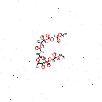 CCOC(=O)COC(=O)OC(=O)C(C)OC(=O)CCC(=O)OC(C)C(=O)OC(=O)OCC(=O)OCC